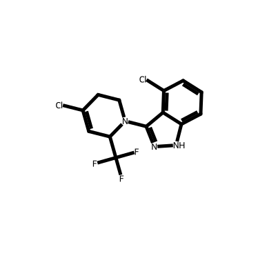 FC(F)(F)C1C=C(Cl)CCN1c1n[nH]c2cccc(Cl)c12